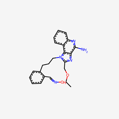 CCOCc1nc2c(N)nc3ccccc3c2n1CCCc1ccccc1C=NO